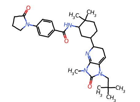 Cn1c2c(n(CC(C)(C)C)c1=O)=CCC(C1CCC(C)(C)C(NC(=O)c3ccc(N4CCCC4=O)cc3)C1)N=2